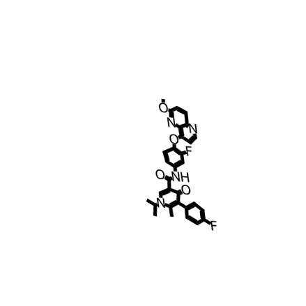 COc1ccc2nccc(Oc3ccc(NC(=O)c4cn(C(C)C)c(C)c(-c5ccc(F)cc5)c4=O)cc3F)c2n1